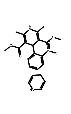 C1=CNC=CC1.COC(=O)C1=C(C)NC(C)=C(C(=O)OC)C1c1ccccc1[N+](=O)[O-]